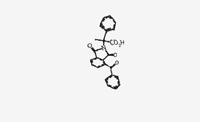 CC(C(=O)O)(c1ccccc1)N1C(=O)c2cccc(C(=O)c3ccccc3)c2C1=O